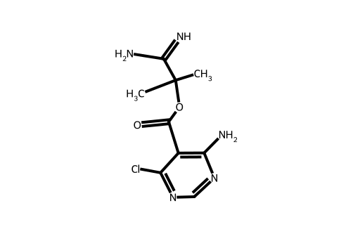 CC(C)(OC(=O)c1c(N)ncnc1Cl)C(=N)N